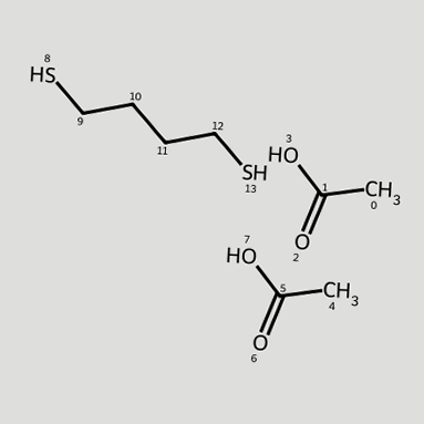 CC(=O)O.CC(=O)O.SCCCCS